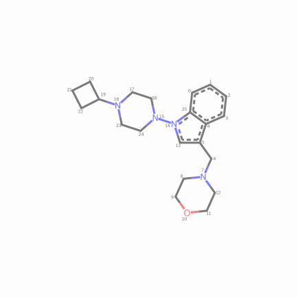 [c]1cccc2c(CN3CCOCC3)cn(N3CCN(C4CCC4)CC3)c12